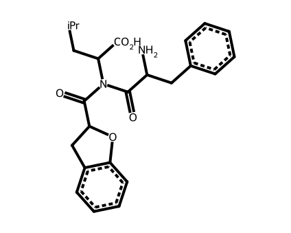 CC(C)CC(C(=O)O)N(C(=O)C(N)Cc1ccccc1)C(=O)C1Cc2ccccc2O1